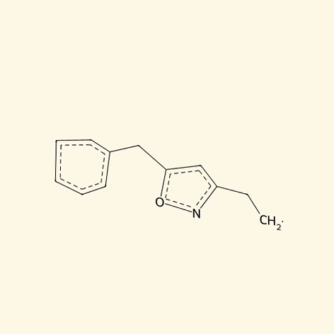 [CH2]Cc1cc(Cc2ccccc2)on1